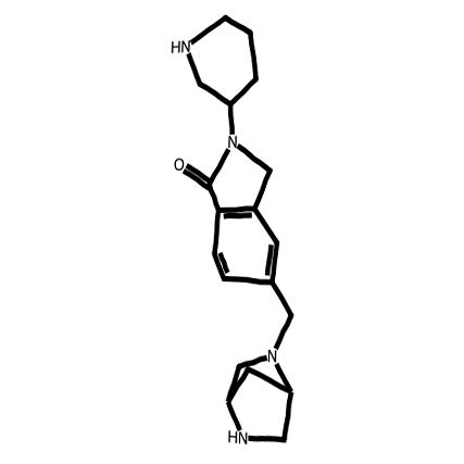 O=C1c2ccc(CN3CC4CC3CN4)cc2CN1C1CCCNC1